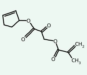 C=C(C)C(=O)OCC(=O)C(=O)OC1C=CCC1